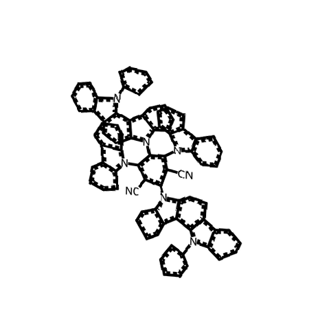 N#Cc1c(-n2c3ccccc3c3ccccc32)c(-n2c3ccccc3c3c2ccc2c4ccccc4n(-c4ccccc4)c23)c(-n2c3ccccc3c3ccccc32)c(C#N)c1-n1c2ccccc2c2c1ccc1c3ccccc3n(-c3ccccc3)c12